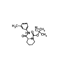 Cc1cccc(NC(=O)C2CCCCN2C(=O)OC(C)(C)C)c1